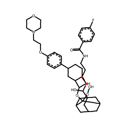 O=C(NCCCNC(O)C12CC3CC(C1)C(OO)(OC1CC4CCC(c5ccc(OCCN6CCOCC6)cc5)CC41)C(C3)C2)c1ccc(F)cc1